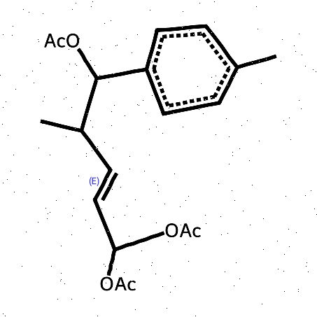 CC(=O)OC(/C=C/C(C)C(OC(C)=O)c1ccc(C)cc1)OC(C)=O